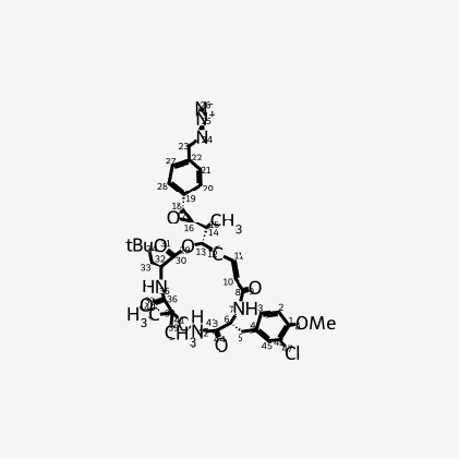 COc1ccc(C[C@H]2NC(=O)/C=C/C[C@@H](C(C)[C@H]3O[C@@H]3c3ccc(CN=[N+]=[N-])cc3)OC(=O)[C@H](CC(C)(C)C)NC(=O)C(C)(C)CNC2=O)cc1Cl